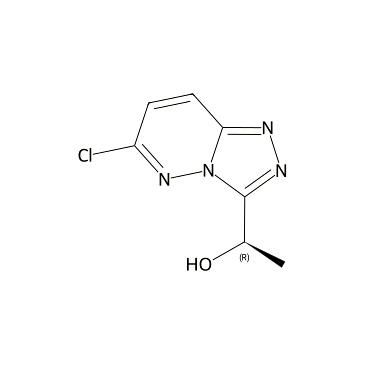 C[C@@H](O)c1nnc2ccc(Cl)nn12